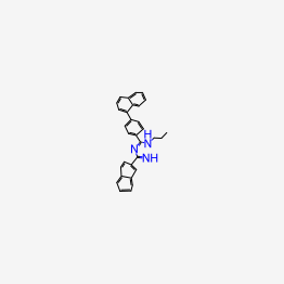 CCCN/C(=N\C(=N)c1ccc2ccccc2c1)c1ccc(-c2cccc3ccccc23)cc1